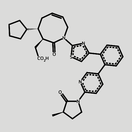 C[C@@H]1CCN(c2ccc(-c3ccccc3-c3csc(N4CC=CC[C@@H](C5CCCC5)[C@H](CC(=O)O)C4=O)n3)cn2)C1=O